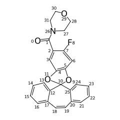 O=C(c1cc2c(cc1F)OC1(O2)c2ccccc2C=Cc2ccccc21)N1CCOCC1